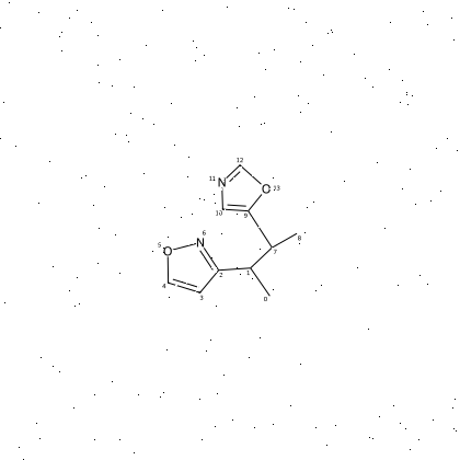 CC(c1ccon1)C(C)c1cnco1